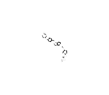 CCCCN1CCC(Oc2ccc(C(=O)N3CCc4cc(OCOc5ccc(NC(=O)NC(CC)CC)cc5)ccc43)cc2)CC1